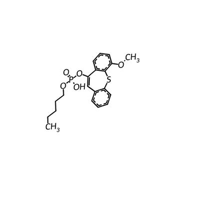 CCCCCOP(=O)(O)OC1=Cc2ccccc2Sc2c(OC)cccc21